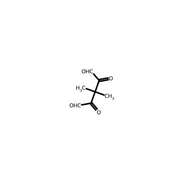 CC(C)(C(=O)C=O)C(=O)C=O